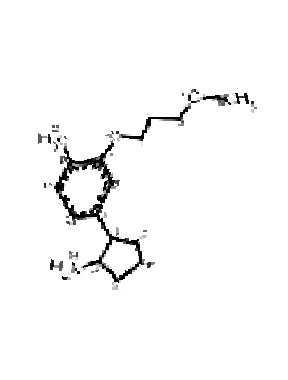 COCCCOc1cc(C2CCCC2N)ccc1C